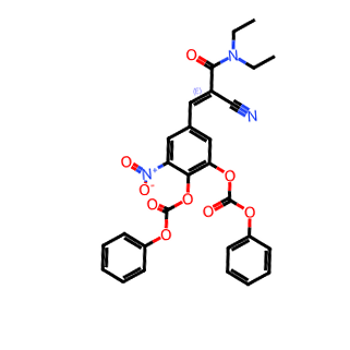 CCN(CC)C(=O)/C(C#N)=C/c1cc(OC(=O)Oc2ccccc2)c(OC(=O)Oc2ccccc2)c([N+](=O)[O-])c1